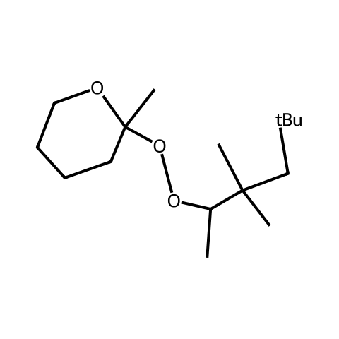 CC(OOC1(C)CCCCO1)C(C)(C)CC(C)(C)C